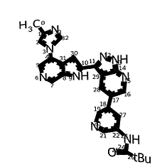 Cc1cn(-c2cncc3[nH]c(-c4n[nH]c5ncc(-c6cncc(NC(=O)C(C)(C)C)c6)cc45)cc23)cn1